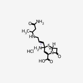 CC(CC(N)=O)NC/C=C/C1(N)C=C(C(=O)O)N2C(=O)C[C@H]2S1.Cl